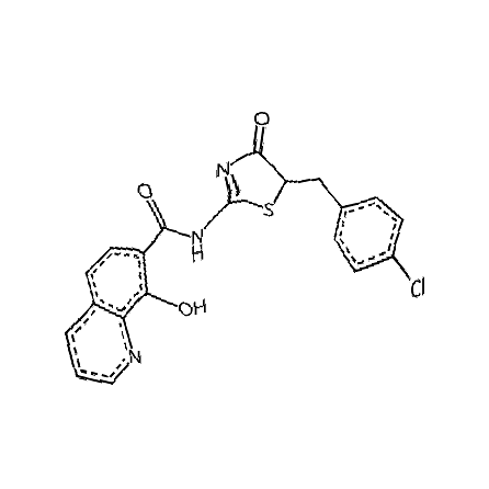 O=C(NC1=NC(=O)C(Cc2ccc(Cl)cc2)S1)c1ccc2cccnc2c1O